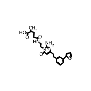 CC(CCC(=O)NCCn1c(N)nc(CCc2cccc(-c3ccco3)c2)cc1=O)C(=O)O